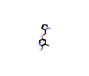 [18F]c1ncc(OCC2C=CCN2)cc1I